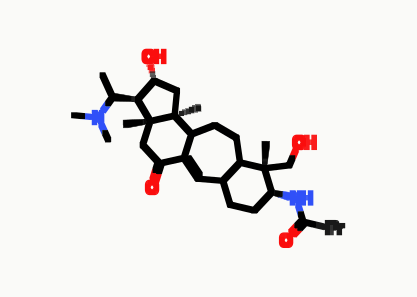 CC(C)C(=O)N[C@H]1CCC2C=C3C(=O)C[C@]4(C)[C@@H](C(C)N(C)C)[C@H](O)C[C@@]4(C)C3CCC2[C@]1(C)CO